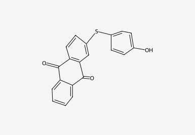 O=C1c2ccccc2C(=O)c2cc(Sc3ccc(O)cc3)ccc21